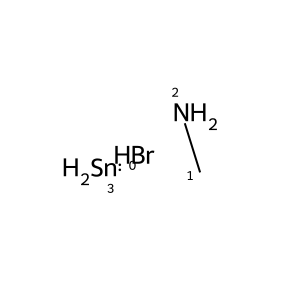 Br.CN.[SnH2]